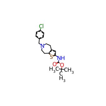 CC(C)(C)OC(=O)Nc1cc2c(s1)CCN(Cc1ccc(Cl)cc1)CC2